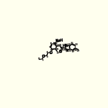 CCOCCOc1ccnc(C[S+]([O-])c2nc3cc(C)ccc3[nH]2)c1C.[NaH]